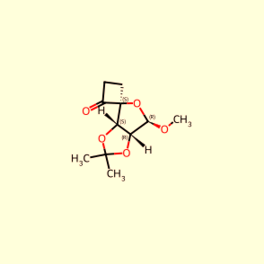 CO[C@@H]1O[C@@]2(CCC2=O)[C@H]2OC(C)(C)O[C@@H]12